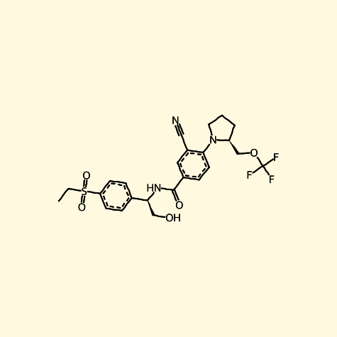 CCS(=O)(=O)c1ccc([C@H](CO)NC(=O)c2ccc(N3CCC[C@H]3COC(F)(F)F)c(C#N)c2)cc1